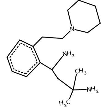 CC(C)(N)CC(N)c1ccccc1CCN1CCCCC1